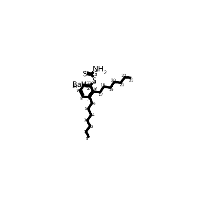 CCCCCCCc1cccc(SC(N)=S)c1CCCCCCC.[BaH2]